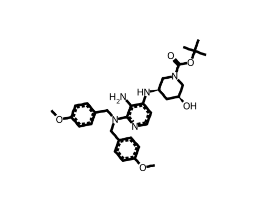 COc1ccc(CN(Cc2ccc(OC)cc2)c2nccc(N[C@@H]3C[C@H](O)CN(C(=O)OC(C)(C)C)C3)c2N)cc1